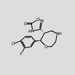 O=c1[nH]c([C@@H]2CNCCO[C@H]2c2ccc(Cl)c(F)c2)no1